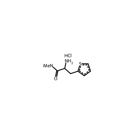 CNC(=O)C(N)Cc1cccs1.Cl